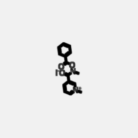 CN(OC(=O)c1ccccc1)C(=O)c1ccc[n+](C)c1.[I-]